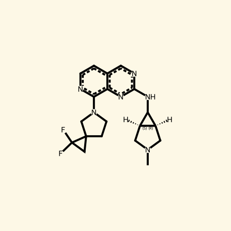 CN1C[C@@H]2C(Nc3ncc4ccnc(N5CCC6(C5)CC6(F)F)c4n3)[C@@H]2C1